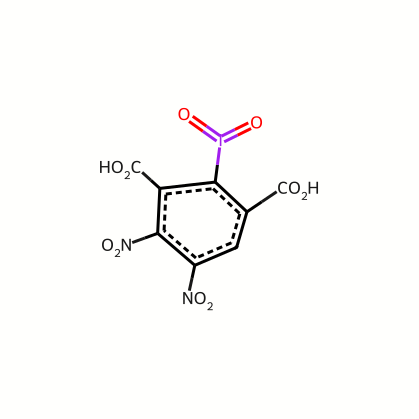 O=C(O)c1cc([N+](=O)[O-])c([N+](=O)[O-])c(C(=O)O)c1I(=O)=O